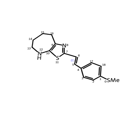 CSc1ccc(/C=C/c2nc3c(s2)NCCCC3)cc1